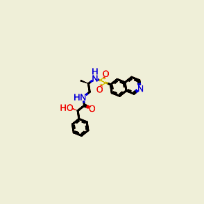 C[C@H](CNC(=O)[C@@H](O)c1ccccc1)NS(=O)(=O)c1ccc2cnccc2c1